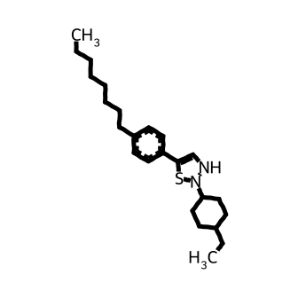 CCCCCCCCc1ccc(C2=CNN(C3CCC(CC)CC3)S2)cc1